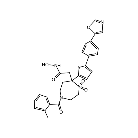 Cc1ccccc1C(=O)N1CCC(CC(=O)NO)(c2ccc(-c3ccc(-c4cnco4)cc3)s2)S(=O)(=O)CC1